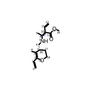 C=CC1=C(C)[C@H](CN/C(C)=C(/C=C)C(=O)OC)CCO1